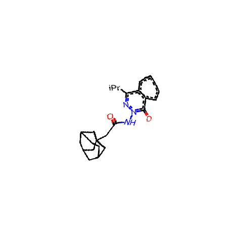 CC(C)c1nn(NC(=O)CC23CC4CC(CC(C4)C2)C3)c(=O)c2ccccc12